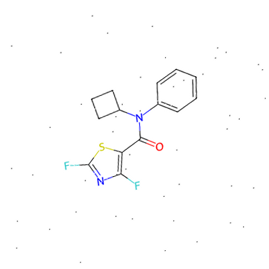 O=C(c1sc(F)nc1F)N(c1ccccc1)C1CCC1